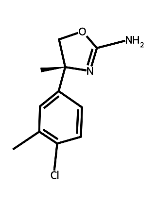 Cc1cc([C@]2(C)COC(N)=N2)ccc1Cl